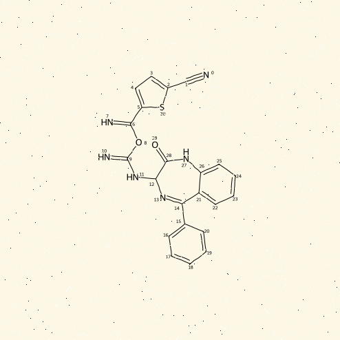 N#Cc1ccc(C(=N)OC(=N)NC2N=C(c3ccccc3)c3ccccc3NC2=O)s1